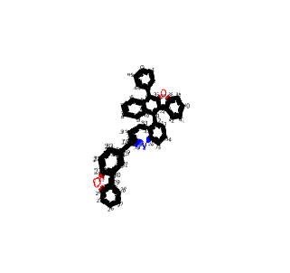 c1ccc(-c2c3ccccc3c(-c3cccc4nc(-c5ccc6oc7ccccc7c6c5)ccc34)c3c2oc2ccccc23)cc1